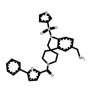 NCc1ccc2c(c1)C1(CCN(C(=O)c3ccc(-c4ccccc4)o3)CC1)CN2S(=O)(=O)c1ccsc1